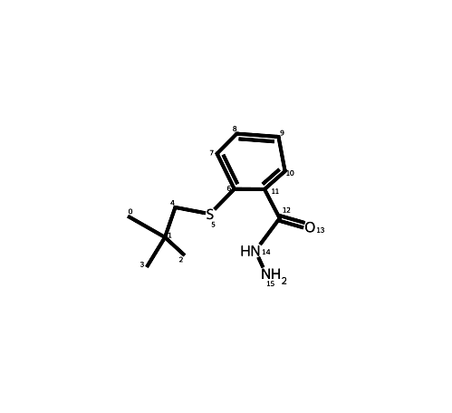 CC(C)(C)CSc1ccccc1C(=O)NN